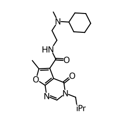 Cc1oc2ncn(CC(C)C)c(=O)c2c1C(=O)NCCN(C)C1CCCCC1